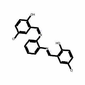 Oc1ccc(Cl)cc1/C=N\c1ccccc1/N=C/c1cc(Cl)ccc1O